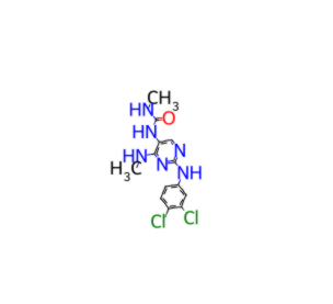 CNC(=O)Nc1cnc(Nc2ccc(Cl)c(Cl)c2)nc1NC